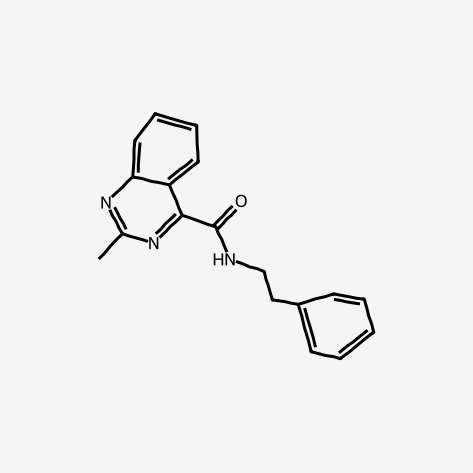 Cc1nc(C(=O)NCCc2ccccc2)c2ccccc2n1